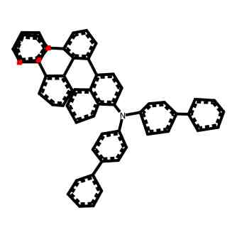 c1ccc(-c2ccc(N(c3ccc(-c4ccccc4)cc3)c3ccc(-c4cccc(-c5ccccc5)c4-c4ccccc4-c4ccccc4)c4ccccc34)cc2)cc1